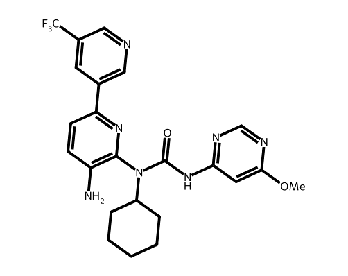 COc1cc(NC(=O)N(c2nc(-c3cncc(C(F)(F)F)c3)ccc2N)C2CCCCC2)ncn1